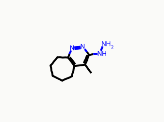 Cc1c(NN)nnc2c1CCCCC2